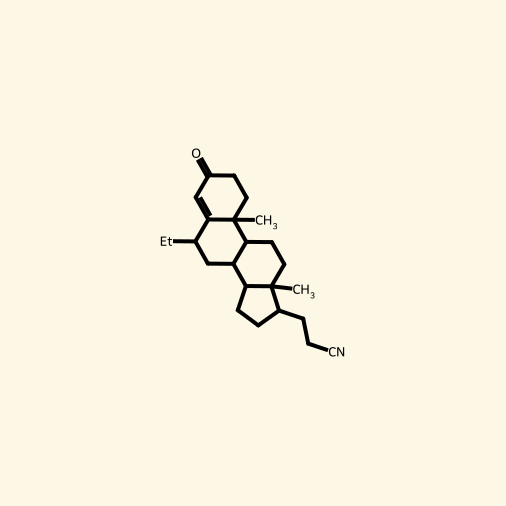 CCC1CC2C(CCC3(C)C(CCC#N)CCC23)C2(C)CCC(=O)C=C12